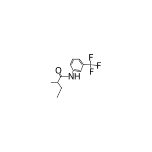 CCC(C)C(=O)Nc1cccc(C(F)(F)F)c1